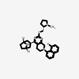 CN1CCC[C@H]1COc1nc2c(c([C@@H]3C[C@H]4CC[C@@H](C3)N4)n1)CCN(c1cccc3cccc(F)c13)C2